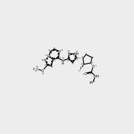 CC(C)NC(=O)O[C@H]1CC[C@@H](c2cc(Nc3nccn4nc(OC(F)(F)F)cc34)n[nH]2)[C@@H]1F